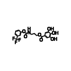 O=C(NCCCOC(=O)c1cc(O)c(O)c(O)c1)Oc1cccc(C(F)(F)F)c1